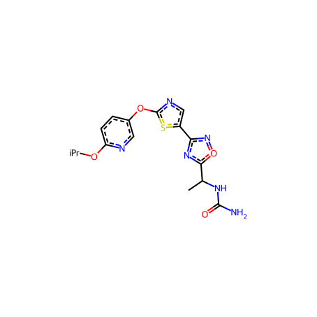 CC(C)Oc1ccc(Oc2ncc(-c3noc(C(C)NC(N)=O)n3)s2)cn1